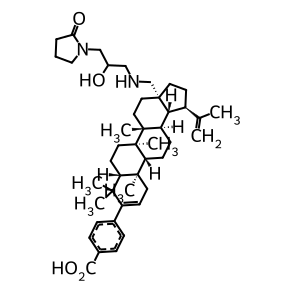 C=C(C)[C@@H]1CC[C@]2(CNCC(O)CN3CCCC3=O)CC[C@]3(C)[C@H](CC[C@@H]4[C@@]5(C)CC=C(c6ccc(C(=O)O)cc6)C(C)(C)[C@@H]5CC[C@]43C)[C@@H]12